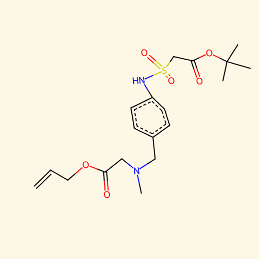 C=CCOC(=O)CN(C)Cc1ccc(NS(=O)(=O)CC(=O)OC(C)(C)C)cc1